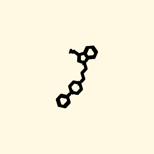 CC(=O)c1cn(CCCN2CCN(c3ccccc3)CC2)c2ccccc12